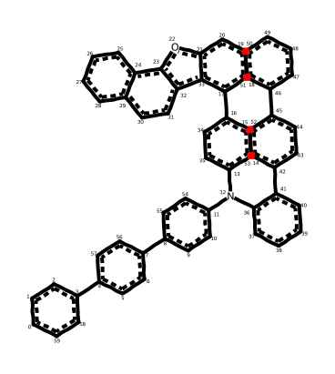 c1ccc(-c2ccc(-c3ccc(N(c4ccc(-c5cccc6oc7c8ccccc8ccc7c56)cc4)c4ccccc4-c4ccc(-c5ccccc5)cc4)cc3)cc2)cc1